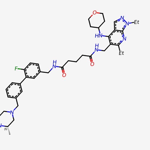 CCc1nc2c(cnn2CC)c(NC2CCOCC2)c1CNC(=O)CCCC(=O)NCc1ccc(F)c(-c2cccc(CN3CCN[C@@H](C)C3)c2)c1